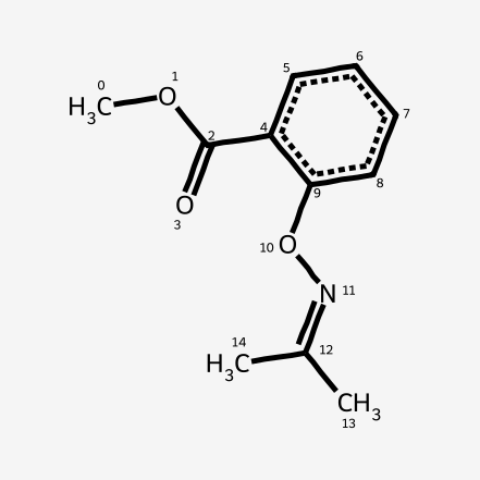 COC(=O)c1ccccc1ON=C(C)C